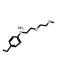 CCc1ccc(OCCOCCOC)cc1.N